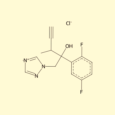 C#CC(C)C(O)(CN1C=[N+]C=N1)c1cc(F)ccc1F.[Cl-]